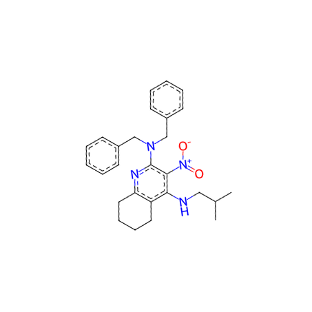 CC(C)CNc1c2c(nc(N(Cc3ccccc3)Cc3ccccc3)c1[N+](=O)[O-])CCCC2